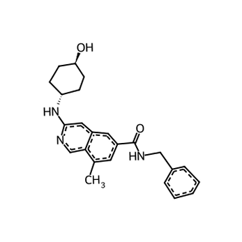 Cc1cc(C(=O)NCc2ccccc2)cc2cc(N[C@H]3CC[C@H](O)CC3)ncc12